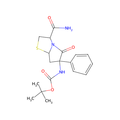 CC(C)(C)OC(=O)NC1(c2ccccc2)CC2SCC(C(N)=O)N2C1=O